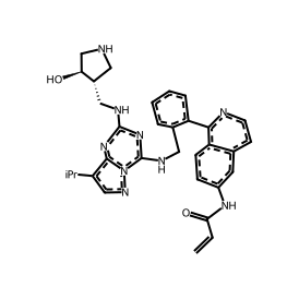 C=CC(=O)Nc1ccc2c(-c3ccccc3CNc3nc(NC[C@H]4CNC[C@@H]4O)nc4c(C(C)C)cnn34)nccc2c1